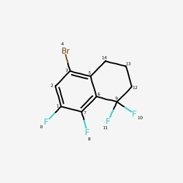 Fc1cc(Br)c2c(c1F)C(F)(F)CCC2